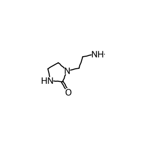 [NH]CCN1CCNC1=O